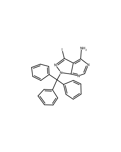 Nc1ncnc2c1c(I)nn2C(c1ccccc1)(c1ccccc1)c1ccccc1